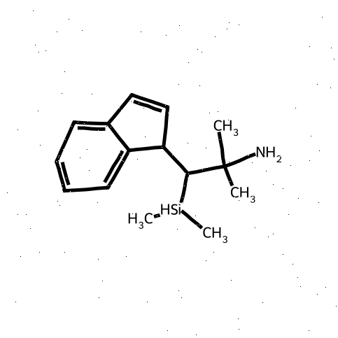 C[SiH](C)C(C1C=Cc2ccccc21)C(C)(C)N